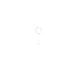 Cc1c(C)c2c(c(C)c1O)CCC(C)(C(=O)OC1CCC1)O2